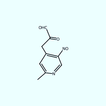 Cc1cc(CC(=O)C=O)c(N=O)cn1